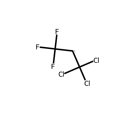 FC(F)(F)[CH]C(Cl)(Cl)Cl